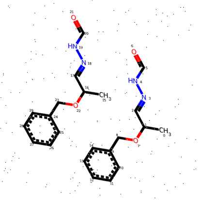 CC(C=NNC=O)OCc1ccccc1.CC(C=NNC=O)OCc1ccccc1